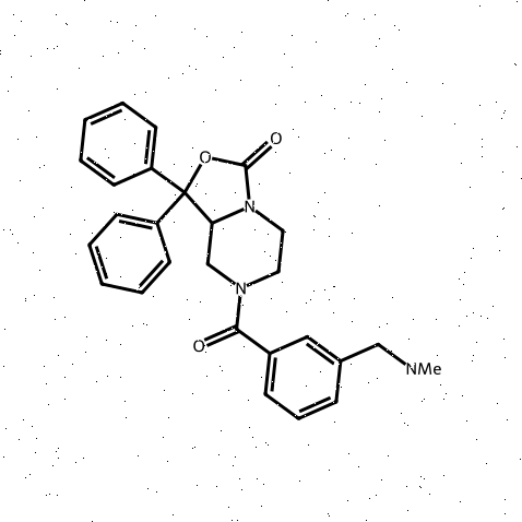 CNCc1cccc(C(=O)N2CCN3C(=O)OC(c4ccccc4)(c4ccccc4)C3C2)c1